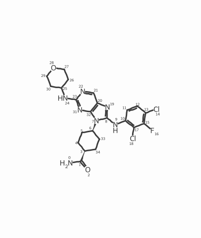 NC(=O)[C@H]1CC[C@@H](n2c(Nc3ccc(Cl)c(F)c3Cl)nc3cnc(NC4CCOCC4)nc32)CC1